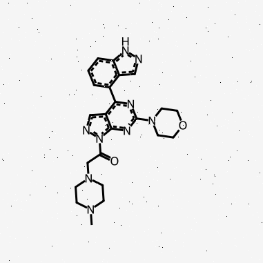 CN1CCN(CC(=O)n2ncc3c(-c4cccc5[nH]ncc45)nc(N4CCOCC4)nc32)CC1